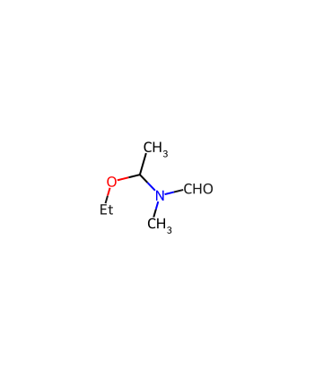 CCOC(C)N(C)C=O